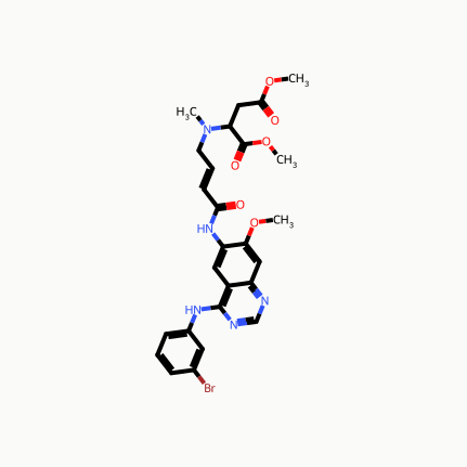 COC(=O)CC(C(=O)OC)N(C)CC=CC(=O)Nc1cc2c(Nc3cccc(Br)c3)ncnc2cc1OC